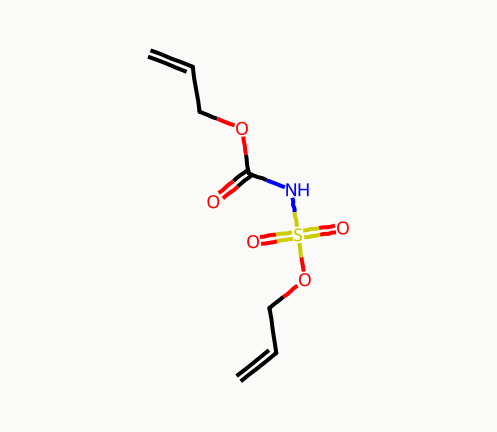 C=CCOC(=O)NS(=O)(=O)OCC=C